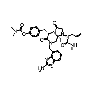 C=CCN(C(=O)NC)N1CC(=O)N2[C@@H](Cc3ccc(OC(=O)N(C)C)cc3)C(=O)N(Cc3cccc4sc(N)nc34)C[C@@H]21